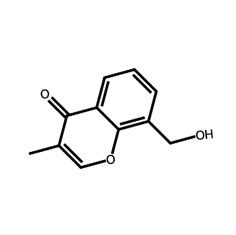 Cc1coc2c(CO)cccc2c1=O